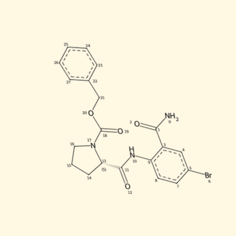 NC(=O)c1cc(Br)ccc1NC(=O)[C@@H]1CCCN1C(=O)OCc1ccccc1